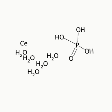 O.O.O.O.O.O=P(O)(O)O.[Ce]